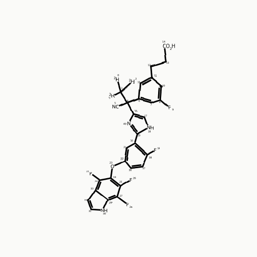 [2H]C([2H])([2H])C(C#N)(c1cc(F)cc(CCC(=O)O)c1)c1c[nH]c(-c2cc(Oc3c(F)c(F)c4[nH]ccc4c3F)ccc2F)n1